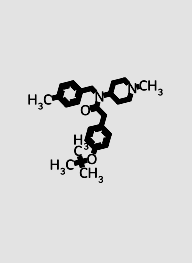 Cc1ccc(CN(C(=O)Cc2ccc(OC(C)(C)C)cc2)C2CCN(C)CC2)cc1